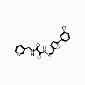 O=C(NCc1cccnc1)C(=O)N/N=C\c1ccc(-c2cccc(Cl)c2)o1